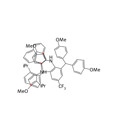 COc1ccc(C(c2ccc(OC)cc2)c2cc(C(F)(F)F)cc(C(c3ccc(OC)cc3)c3ccc(OC)cc3)c2NC2c3cccc4cccc(c34)C2Nc2c(C(C)C)cccc2C(C)C)cc1